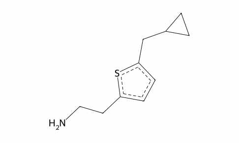 NCCc1ccc(CC2CC2)s1